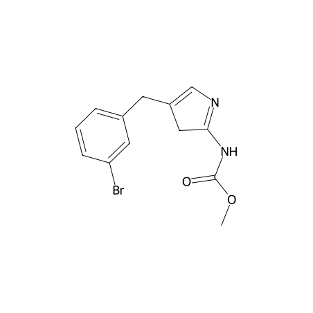 COC(=O)NC1=NC=C(Cc2cccc(Br)c2)C1